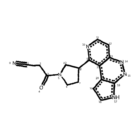 N#CCC(=O)N1CCC(c2nccc3nnc4[nH]ccc4c23)C1